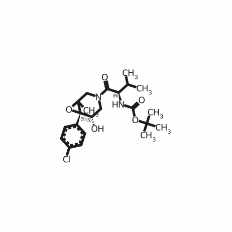 CC(C)[C@@H](NC(=O)OC(C)(C)C)C(=O)N1C[C@H](O)[C@]2(c3ccc(Cl)cc3)OC2(C)C1